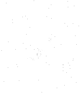 O=C1CCC(c2cccc(NC(=O)CCCCCC(=O)N3CCC(F)(F)CC3)c2)C(=O)N1